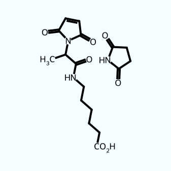 CC(C(=O)NCCCCCC(=O)O)N1C(=O)C=CC1=O.O=C1CCC(=O)N1